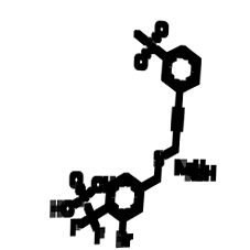 CS(=O)(=O)c1cccc(C#CCSCc2ccc(C(F)(F)P(=O)(O)O)c(Br)c2)c1.[NaH].[NaH]